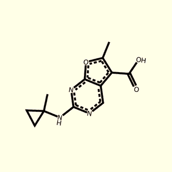 Cc1oc2nc(NC3(C)CC3)ncc2c1C(=O)O